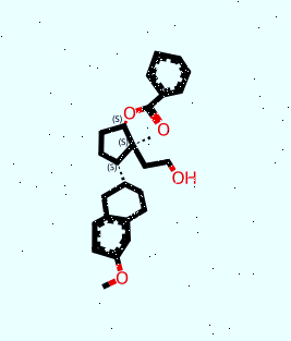 COc1ccc2c(c1)CCC([C@@H]1CC[C@H](OC(=O)c3ccccc3)[C@@]1(C)CCO)C2